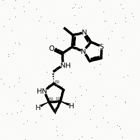 Cc1nc2sccn2c1C(=O)NC[C@@H]1C[C@@H]2C[C@@H]2N1